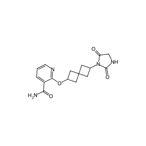 NC(=O)c1cccnc1OC1CC2(C1)CC(N1C(=O)CNC1=O)C2